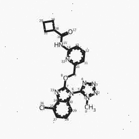 Cn1nnnc1-n1c(OCc2cccc(NC(=O)C3CCC3)n2)nc2c(Cl)cccc21